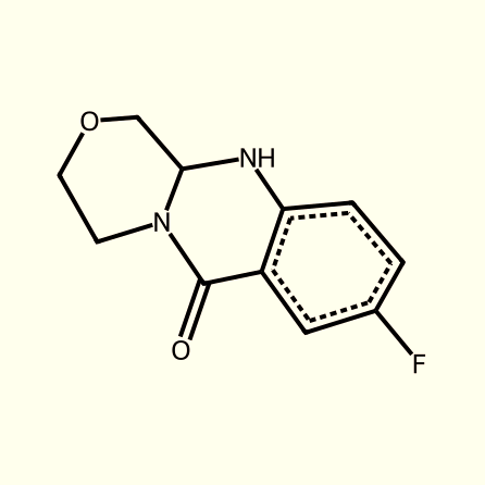 O=C1c2cc(F)ccc2NC2COCCN12